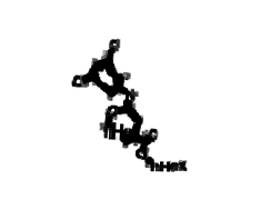 C=C(CC(=Nc1cc(Cl)cc(Cl)c1)OCCCCCC)C(=O)OCCCCCC